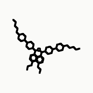 CCCCCC1CCC(C2CCC(C(OC(c3ccc(CCC)cc3)C3CCC(C4CCC(CCCCC)CC4)CC3)c3ccc(CCC)cc3)CC2)CC1